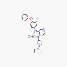 C=CC(=O)N1CCC(N(C=O)c2ccncc2N(C)c2ccc(Oc3ccccc3)c(F)c2)C1